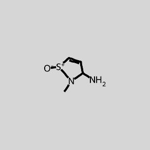 CN1C(N)C=C[S+]1[O-]